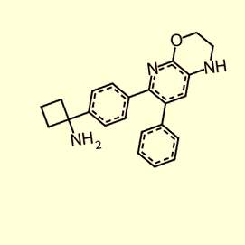 NC1(c2ccc(-c3nc4c(cc3-c3ccccc3)NCCO4)cc2)CCC1